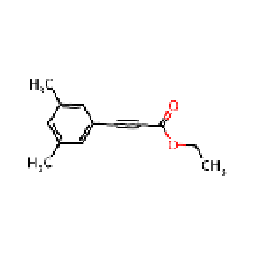 CCOC(=O)C#Cc1cc(C)cc(C)c1